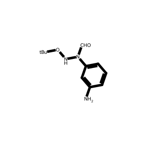 CC(C)(C)ONN(C=O)c1cccc(N)c1